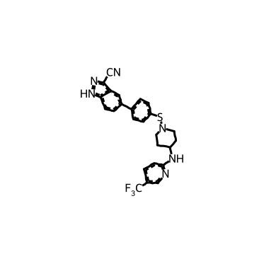 N#Cc1n[nH]c2ccc(-c3ccc(SN4CCC(Nc5ccc(C(F)(F)F)cn5)CC4)cc3)cc12